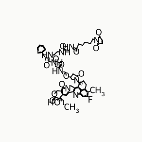 CCC[C@@]1(O)C(=O)OCc2c1cc1n(c2=O)Cc2c-1nc1cc(F)c(C)c3c1c2[C@@H](N1CC(OCNC(=O)CNC(=O)[C@H](Cc2ccccc2)NC(=O)CNC(=O)CNC(=O)CCCCCN2C(=O)C=CC2=O)CC1=O)CC3